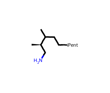 CCCC(C)CCC(C)[C@H](C)CN